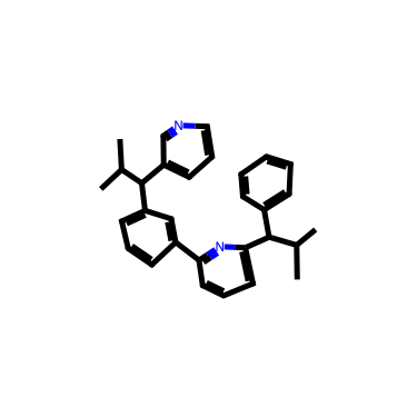 CC(C)C(c1cccnc1)c1cccc(-c2cccc(C(c3ccccc3)C(C)C)n2)c1